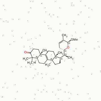 CO[C@H]1O[C@H]([C@@H](C)[C@H]2CC[C@@]3(C)C4=C(CC[C@]23C)[C@@]2(C)CCC(=O)C(C)(C)[C@@H]2CC4)CC=C1C